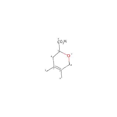 CC1=C(C)CC(C(=O)O)OC1